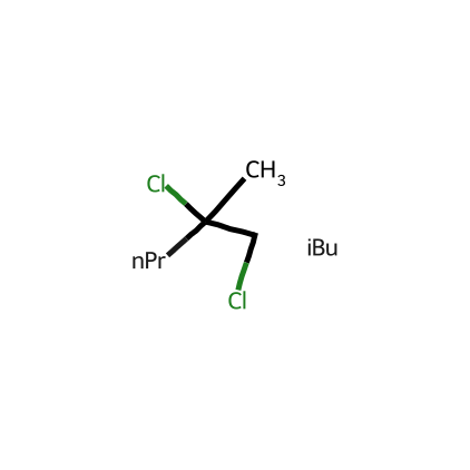 CCCC(C)(Cl)C(Cl)[C@H](C)CC